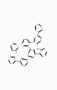 c1ccc(Nc2ccccc2-c2cccc(-c3cc4c5c(c3)c3ccccc3n5-c3ccc(-c5ccccc5)cc3-c3ccccc3-4)c2)cc1